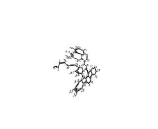 C=C/C=C\C=C\c1ccc(-n2c3ccccc3c3ccc4c5ccccc5n(/C=C/C=C(\C=C)C5CC=Cc6ccccc65)c4c32)cc1